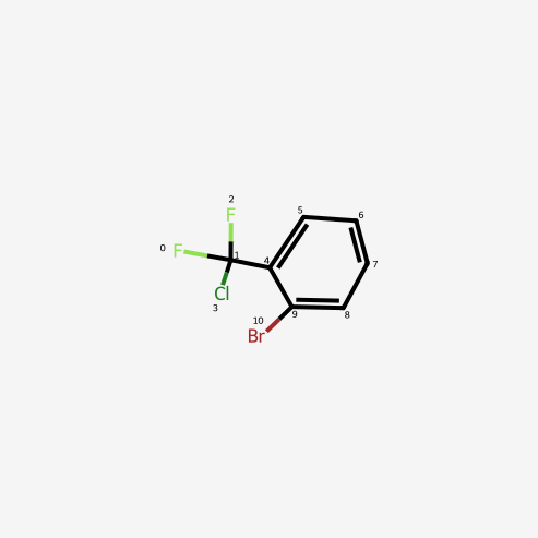 FC(F)(Cl)c1ccccc1Br